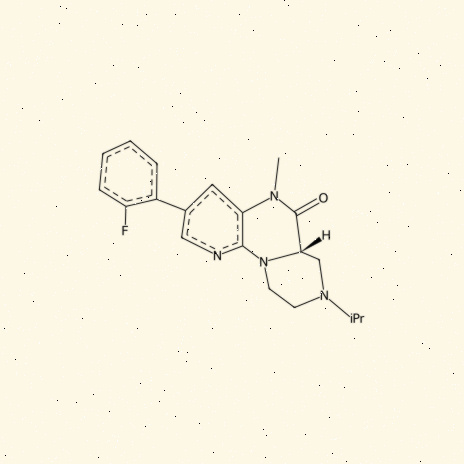 CC(C)N1CCN2c3ncc(-c4ccccc4F)cc3N(C)C(=O)[C@@H]2C1